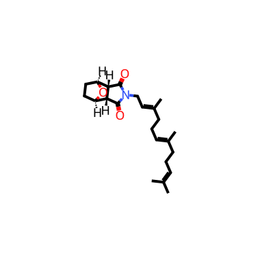 CC(C)=CCC/C(C)=C/CC/C(C)=C/CN1C(=O)[C@@H]2[C@H](C1=O)[C@H]1CC[C@@H]2O1